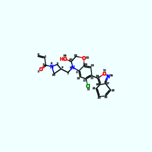 C=CC(=O)N1CC(CN2c3cc(Cl)c(-c4onc5ccccc45)cc3OCC2O)C1